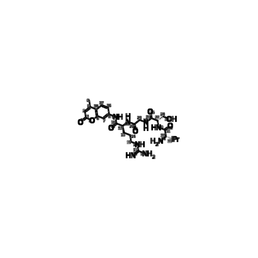 Cc1cc(=O)oc2cc(NC(=O)[C@H](CCCNC(=N)N)NC(=O)CNC(=O)[C@H](CO)NC(=O)[C@@H](N)C(C)C)ccc12